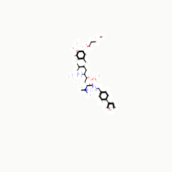 COCCCOc1cc(C[C@@H](C[C@H](N)[C@@H](O)C[C@H](C(=O)NCc2ccc(-c3ccsc3)cc2)C(C)C)C(C)C)ccc1OC